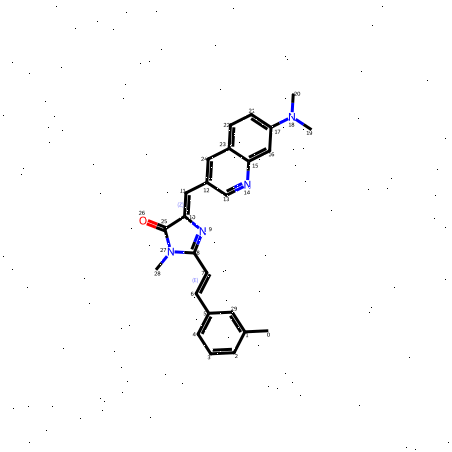 Cc1cccc(/C=C/C2=NC(=C\c3cnc4cc(N(C)C)ccc4c3)/C(=O)N2C)c1